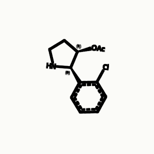 CC(=O)O[C@@H]1CCN[C@@H]1c1ccccc1Cl